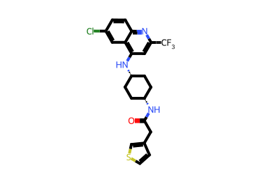 O=C(Cc1ccsc1)N[C@H]1CC[C@@H](Nc2cc(C(F)(F)F)nc3ccc(Cl)cc23)CC1